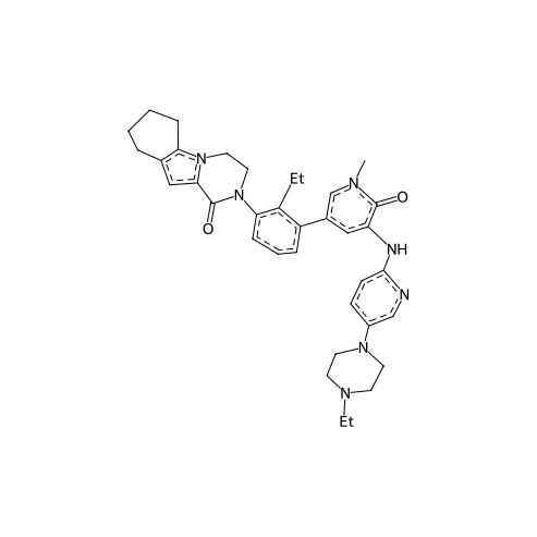 CCc1c(-c2cc(Nc3ccc(N4CCN(CC)CC4)cn3)c(=O)n(C)c2)cccc1N1CCn2c(cc3c2CCCC3)C1=O